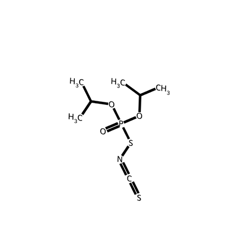 CC(C)OP(=O)(OC(C)C)SN=C=S